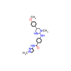 COc1ccc(C2CNC(Nc3ccc(C(=O)Nc4ccn(C)n4)cc3)N(C)C2)cc1